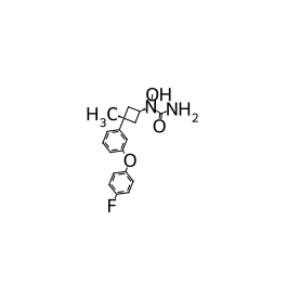 C[C@]1(c2cccc(Oc3ccc(F)cc3)c2)C[C@H](N(O)C(N)=O)C1